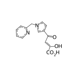 O=C(O)C(O)=CC(=O)c1ccn(Cc2ccccn2)c1